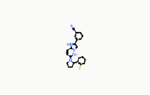 N#Cc1cccc(-c2cnc(/C=C\C(=N)N3CCCC3c3ccccc3F)[nH]2)c1